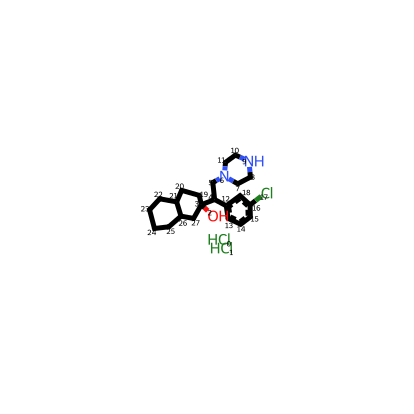 Cl.Cl.OC1(C(CN2CCNCC2)c2cccc(Cl)c2)CCC2CCCCC2C1